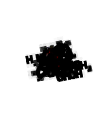 CC1(C)C(C(N)=O)Cc2ccc(cc2)[C@@]1(C(=O)NC(=O)O)N1CCCC1N(C1CCCC1)C1CCCN1[C@]1(C(=O)NC(=O)O)c2ccc(cc2)CC(C(N)=O)C1(C)C